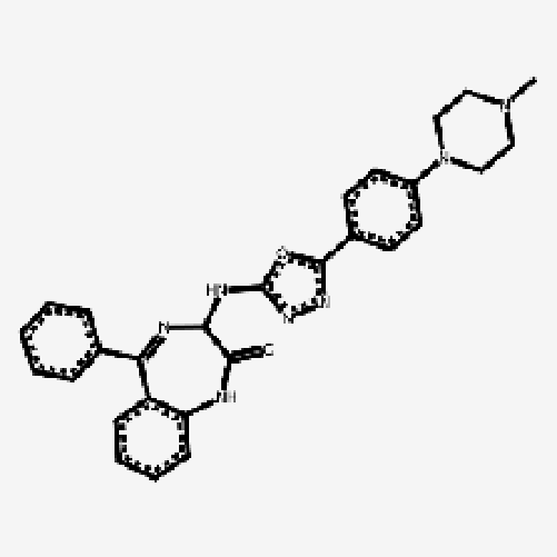 CN1CCN(c2ccc(-c3nnc(NC4N=C(c5ccccc5)c5ccccc5NC4=O)o3)cc2)CC1